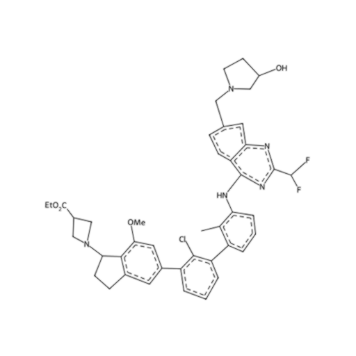 CCOC(=O)C1CN(C2CCc3cc(-c4cccc(-c5cccc(Nc6nc(C(F)F)nc7cc(CN8CCC(O)C8)ccc67)c5C)c4Cl)cc(OC)c32)C1